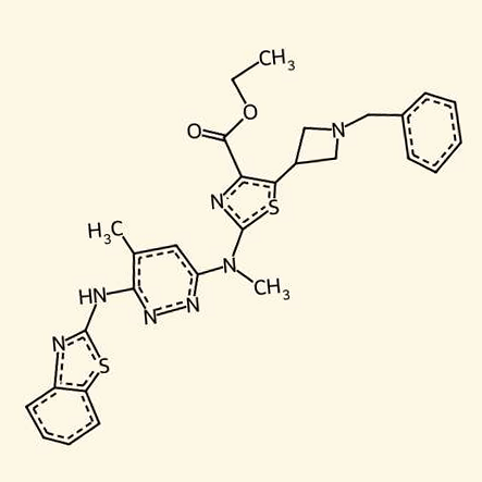 CCOC(=O)c1nc(N(C)c2cc(C)c(Nc3nc4ccccc4s3)nn2)sc1C1CN(Cc2ccccc2)C1